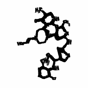 Cc1nc(Nc2ncc(C(=O)Nc3c(C)cccc3Cl)s2)cc(N2CCN(CCO)CC2n2c(=O)[nH]cc(C)c2=O)n1